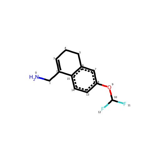 NCC1=CCCc2cc(OC(F)F)ccc21